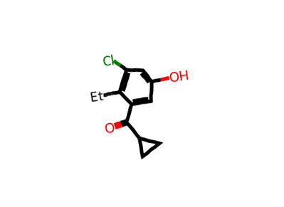 CCc1c(Cl)cc(O)cc1C(=O)C1CC1